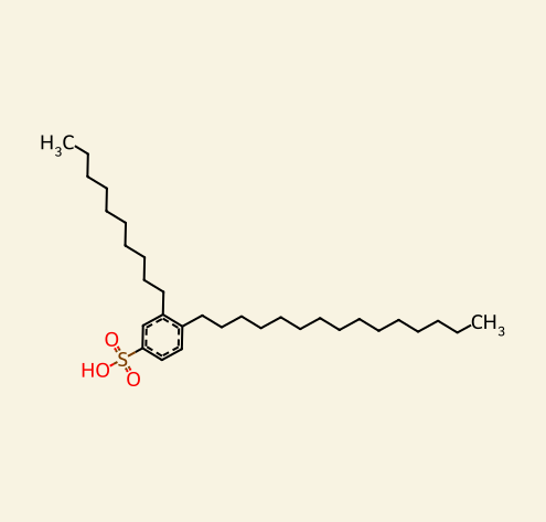 CCCCCCCCCCCCCCCc1ccc(S(=O)(=O)O)cc1CCCCCCCCCC